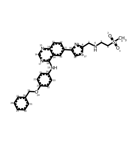 CS(=O)(=O)CCNCc1nc(-c2ccc3ncnc(Nc4ccc(OCc5ccccc5)cc4)c3c2)cs1